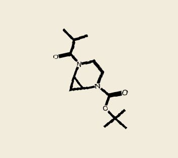 CC(C)C(=O)N1CCN(C(=O)OC(C)(C)C)C2CC21